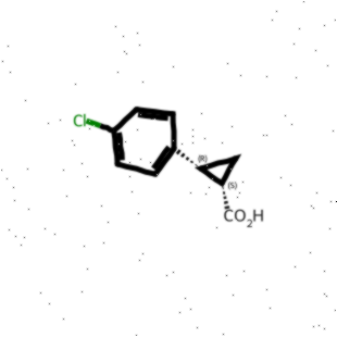 O=C(O)[C@H]1C[C@H]1c1ccc(Cl)cc1